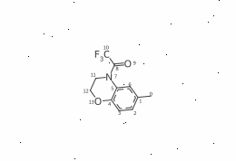 Cc1ccc2c(c1)N(C(=O)C(F)(F)F)CCO2